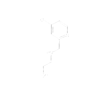 OCCNCc1cc(Cl)ccn1